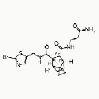 NC(=O)CCNC(=O)[C@H]1[C@H](C(=O)NCc2cnc(Br)s2)[C@@H]2C=C[C@H]1C21CC1